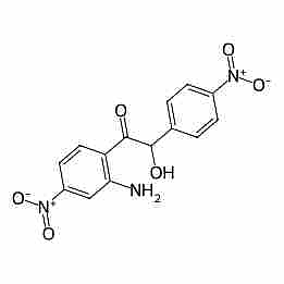 Nc1cc([N+](=O)[O-])ccc1C(=O)C(O)c1ccc([N+](=O)[O-])cc1